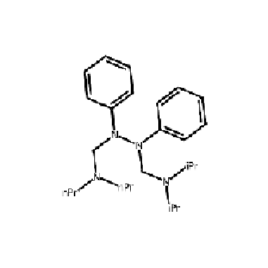 CCCN(CCC)CN(c1ccccc1)N(CN(C(C)C)C(C)C)c1ccccc1